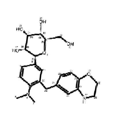 CN(C)c1ccc([C@@H]2O[C@H](CO)[C@@H](O)[C@H](O)[C@H]2O)cc1Cc1ccc2c(c1)NCCO2